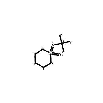 CC(C)(C)N=S1(=O)CCCCC1